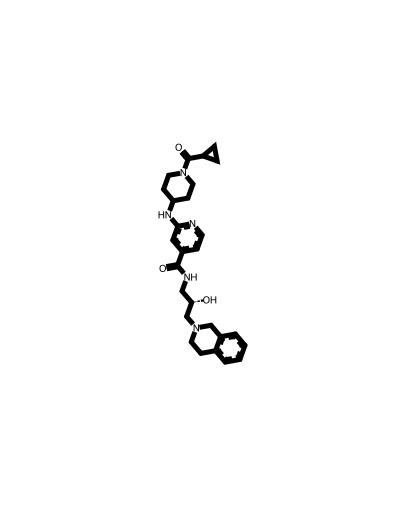 O=C(NC[C@H](O)CN1CCc2ccccc2C1)c1ccnc(NC2CCN(C(=O)C3CC3)CC2)c1